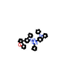 c1ccc(-c2nc(-c3ccc4c5ccccc5n(-c5ccccc5)c4c3)nc(-n3c4ccccc4c4cc(-c5cccc6oc7ccccc7c56)ccc43)n2)cc1